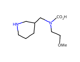 COCCN(CC1CCCNC1)C(=O)O